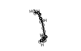 O=C1CCC(N2C(=O)c3cccc(NCCOCCOCCOCCC(=O)Nc4ccc(Cn5ccc6ccc(C(=O)NO)cc65)cc4)c3C2=O)C(=O)N1